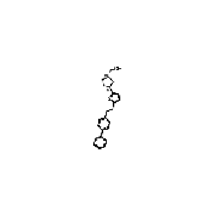 OC[C@H]1CC[C@H](c2ccc(CCc3ccc(-c4ccccc4)cc3)s2)C1